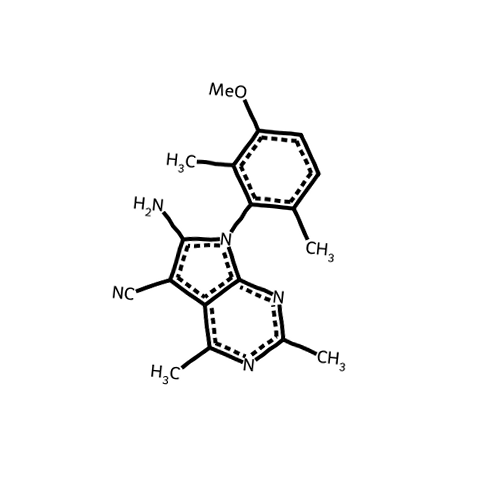 COc1ccc(C)c(-n2c(N)c(C#N)c3c(C)nc(C)nc32)c1C